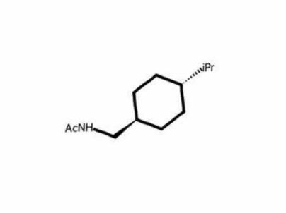 CC(=O)NC[C@H]1CC[C@H](C(C)C)CC1